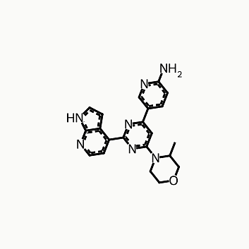 CC1COCCN1c1cc(-c2ccc(N)nc2)nc(-c2ccnc3[nH]ccc23)n1